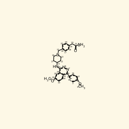 COc1ccc(-c2nnc(NC3CCN(Cc4ccc(CC(N)=O)cc4)CC3)c3cc(OC)ccc23)cc1